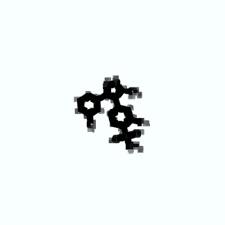 NS(=O)(=O)c1ccc(-c2c(-c3cccc(Cl)c3)noc2C(F)(F)F)cc1F